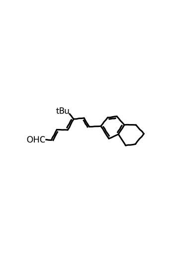 CC(C)(C)C(C=Cc1ccc2c(c1)CCCC2)=CC=CC=O